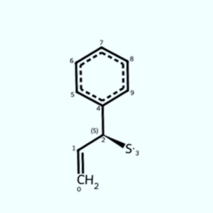 C=C[C@H]([S])c1ccccc1